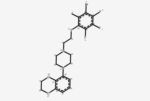 Cc1c(Br)c(F)c(F)c(F)c1SCCN1CCN(c2cccc3c2OCCO3)CC1